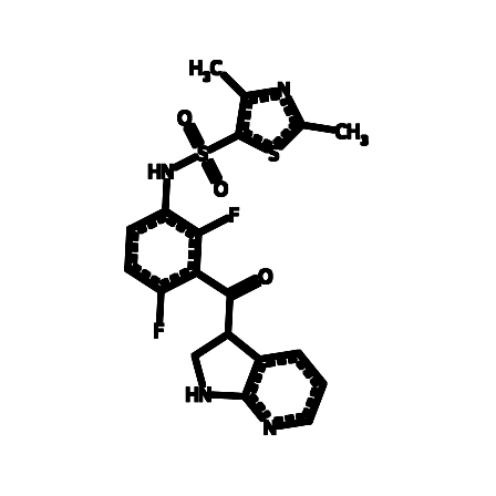 Cc1nc(C)c(S(=O)(=O)Nc2ccc(F)c(C(=O)C3CNc4ncccc43)c2F)s1